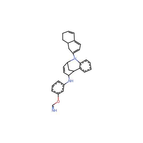 N=COc1cccc(NC2C=CC3CC2c2ccccc2N3C2=CC=C3C=CCCC3C2)c1